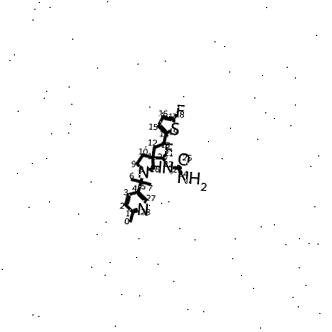 Cc1ccc(C(C)(C)N2CCC(CCc3ccc(F)s3)([C@@H](F)NC(N)=O)C2)cn1